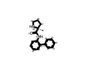 C[C@@]1(C(=O)Nc2ccccc2-c2ccccc2)CCCN1